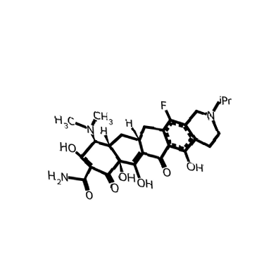 CC(C)N1CCc2c(O)c3c(c(F)c2C1)C[C@H]1C[C@H]2[C@H](N(C)C)C(O)=C(C(N)=O)C(=O)[C@@]2(O)C(O)=C1C3=O